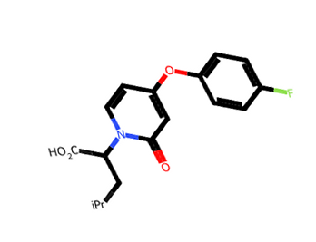 CC(C)CC(C(=O)O)n1ccc(Oc2ccc(F)cc2)cc1=O